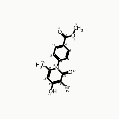 COC(=O)c1ccc(-n2c(C)cc(O)c(Br)c2=O)cc1